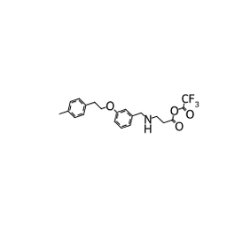 Cc1ccc(CCOc2cccc(CNCCC(=O)OC(=O)C(F)(F)F)c2)cc1